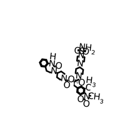 Cc1cc(C[C@@H](OC(=O)N2CCC(N3CCc4ccccc4NC3=O)CC2)C(=O)N2CCC(N3CCN(S(N)(=O)=O)CC3)CC2)cc2oc(=O)n(C)c12